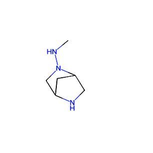 CNN1CC2CC1CN2